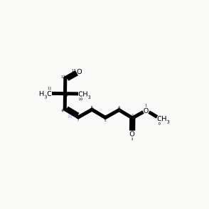 COC(=O)CCC/C=C\C(C)(C)C=O